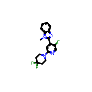 Cn1c(-c2cc(N3CCC(F)(F)CC3)ncc2Cl)nc2ccccc21